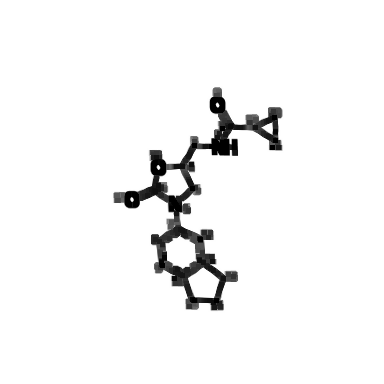 O=C(NCC1CN(c2ccc3c(c2)CCC3)C(=O)O1)C1CC1